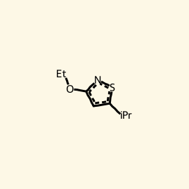 CCOc1cc(C(C)C)sn1